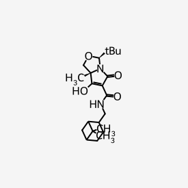 CC1(C)C2CCC(CNC(=O)C3=C(O)[C@]4(C)CO[C@@H](C(C)(C)C)N4C3=O)C1C2